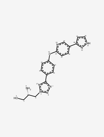 N[C@@H](CO)Cn1nnc(-c2ccc(Oc3ccc(-c4cc[nH]n4)cn3)cc2)n1